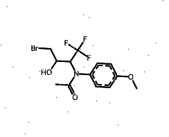 COc1ccc(N(C(C)=O)C(C(O)CBr)C(F)(F)F)cc1